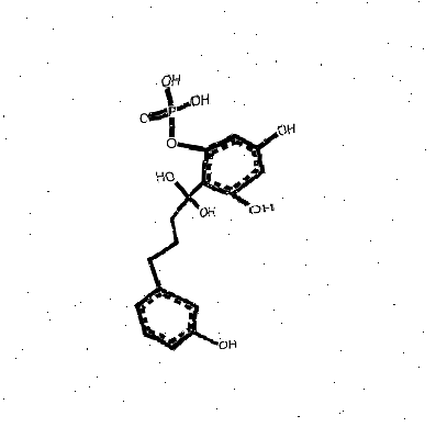 O=P(O)(O)Oc1cc(O)cc(O)c1C(O)(O)CCCc1cccc(O)c1